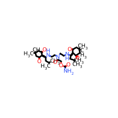 CC(C)CC(NCCN(CCNC(CC(C)C)=C1C(=O)CC(C)(C)CC1=O)C(=O)COC(N)=O)=C1C(=O)CC(C)(C)CC1=O